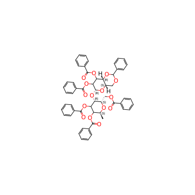 C[C@@H]1O[C@@H](COC(=O)c2ccccc2)[C@@H](O[C@H]2O[C@H]3COC(c4ccccc4)O[C@H]3C(OC(=O)c3ccccc3)C2OC(=O)c2ccccc2)C(OC(=O)c2ccccc2)C1OC(=O)c1ccccc1